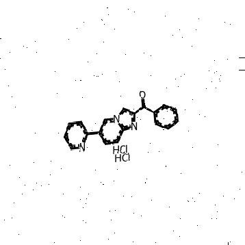 Cl.Cl.O=C(c1ccccc1)c1cn2cc(-c3ccccn3)ccc2n1